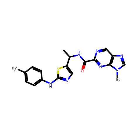 CCn1cnc2cnc(C(=O)NC(C)c3cnc(Nc4ccc(C(F)(F)F)cc4)s3)nc21